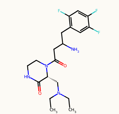 CCN(CC)C[C@@H]1C(=O)NCCN1C(=O)CC(N)Cc1cc(F)c(F)cc1F